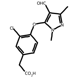 Cc1nn(C)c(Oc2ccc(CC(=O)O)cc2Cl)c1C=O